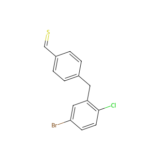 S=Cc1ccc(Cc2cc(Br)ccc2Cl)cc1